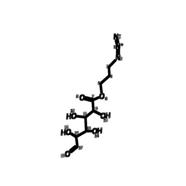 [N-]=[N+]=NCCCOC(=O)C(O)C(O)C(O)C(O)C=O